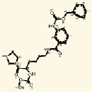 CC(C)(C)OC(=O)NC(CCCCNC(=O)c1cccc(NC(=O)OCc2ccccc2)c1)C(=O)N1CCSC1